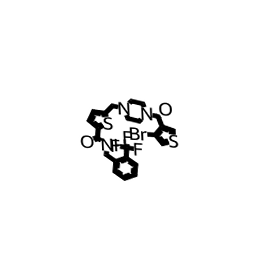 O=C(NCc1ccccc1C(F)(F)F)c1ccc(CN2CCN(C(=O)c3cscc3Br)CC2)s1